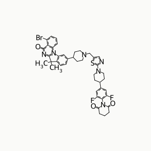 CC1(C)c2ccc(C3CCN(Cc4cnc(N5CCC(c6cc(F)c(N7C(=O)CCCC7=O)c(F)c6)CC5)s4)CC3)cc2-n2c1nc(=O)c1c(Br)cccc12